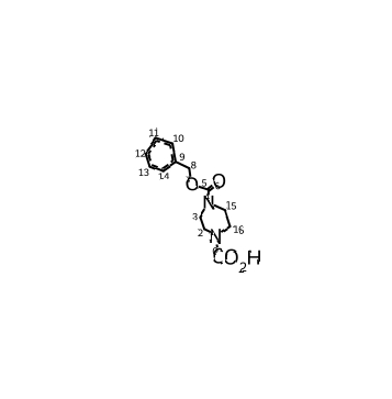 O=C(O)N1CCN(C(=O)OCc2ccccc2)CC1